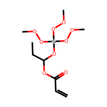 C=CC(=O)OC(CC)O[Si](OOC)(OOC)OOC